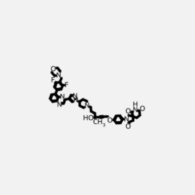 CC(O)(C#CCOc1ccc(N2CC3(CCC(=O)NC3=O)CC2=O)cc1)CCCN1CCC(n2cc(-c3cnc4cccc(-c5cc(F)c(CN6CCOCC6)c(F)c5)c4n3)cn2)CC1